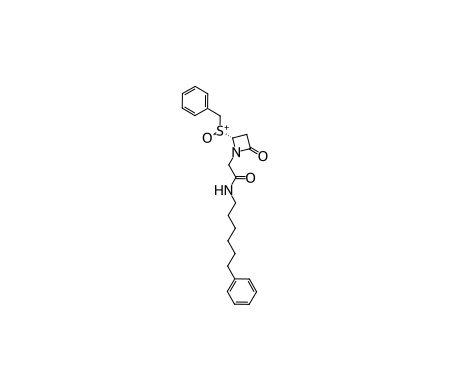 O=C(CN1C(=O)C[C@H]1[S+]([O-])Cc1ccccc1)NCCCCCCc1ccccc1